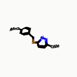 COc1ccc(CSc2ccc(OC)nn2)cc1